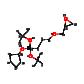 CC(C)(C)O[Si](CCCOCC1CO1)(OC1CCCC1)OC(C)(C)C